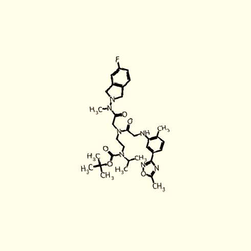 Cc1nc(-c2ccc(C)c(NCC(=O)N(CCN(C(=O)OC(C)(C)C)C(C)C)CC(=O)N(C)N3Cc4ccc(F)cc4C3)c2)no1